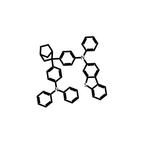 c1ccc(N(c2ccccc2)c2ccc(C3(c4ccc(N(c5ccccc5)c5ccc6c(c5)sc5ccccc56)cc4)CC4CCC3C4)cc2)cc1